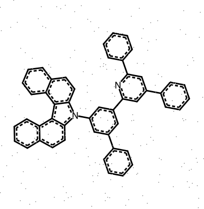 c1ccc(-c2cc(-c3cc(-c4ccccc4)cc(-c4ccccc4)n3)cc(-n3c4ccc5ccccc5c4c4c5ccccc5ccc43)c2)cc1